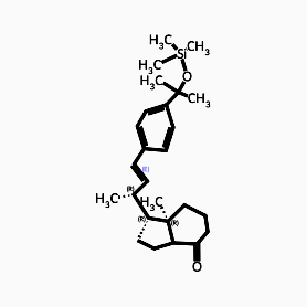 C[C@H](/C=C/c1ccc(C(C)(C)O[Si](C)(C)C)cc1)[C@H]1CCC2C(=O)CCC[C@@]21C